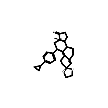 C[C@]12CC(c3ccc(C4CC4)cc3)C3=C4CCC5(C=C4CCC3C1CCC2=O)OCCO5